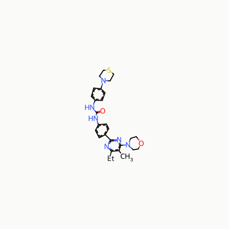 CCc1nc(-c2ccc(NC(=O)Nc3ccc(N4CCSCC4)cc3)cc2)nc(N2CCOCC2)c1C